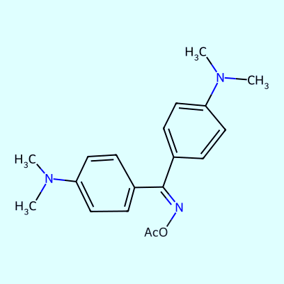 CC(=O)ON=C(c1ccc(N(C)C)cc1)c1ccc(N(C)C)cc1